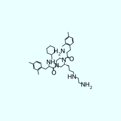 Cc1ccc(C[C@@H](N)C(=O)N2C[C@H](CCCNCCN)N(C(=O)[C@H](N)Cc3ccc(C)cc3C)C[C@H]2CC2CCCCC2)c(C)c1